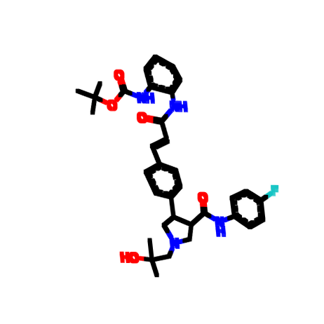 CC(C)(O)CN1CC(C(=O)Nc2ccc(F)cc2)C(c2ccc(C=CC(=O)Nc3ccccc3NC(=O)OC(C)(C)C)cc2)C1